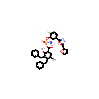 CCOc1c(C(=O)OP(N)(=O)Oc2cc(-c3nnc(-c4ccco4)o3)ccc2F)cc(CC)c(Cc2ccccc2)c1Cc1ccccc1